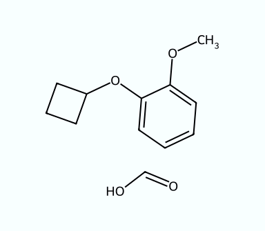 COc1ccccc1OC1CCC1.O=CO